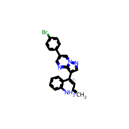 C=C/C=C(\c1ccccc1N)c1cnn2cc(-c3ccc(Br)cc3)cnc12